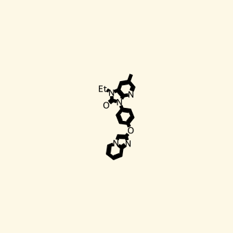 CCn1c(=O)n(-c2ccc(Oc3cn4ccccc4n3)cc2)c2ncc(C)cc21